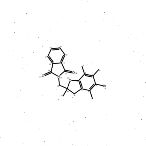 Cc1c(C)c2c(c(C)c1Br)CC(C)(CN1C(=O)c3ccccc3C1=O)O2